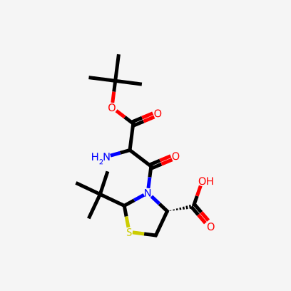 CC(C)(C)OC(=O)C(N)C(=O)N1C(C(C)(C)C)SC[C@H]1C(=O)O